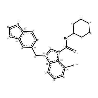 O=C(NC1CCCCC1)c1cn(Cc2ccc3ncsc3c2)c2cccc(F)c12